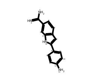 N=C(N)c1ccc2cc(-c3ccc(N)cc3)[nH]c2c1